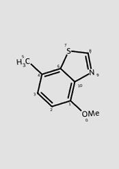 COc1ccc(C)c2s[c]nc12